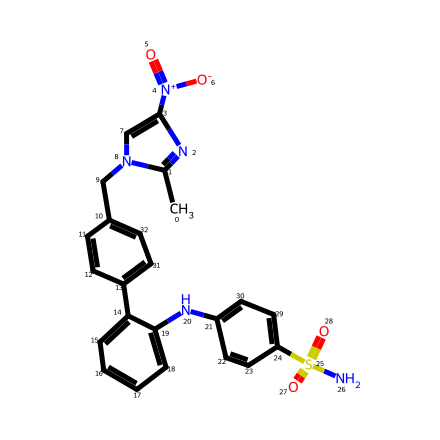 Cc1nc([N+](=O)[O-])cn1Cc1ccc(-c2ccccc2Nc2ccc(S(N)(=O)=O)cc2)cc1